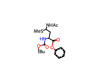 CSC(CC(NC(=O)OC(C)(C)C)C(=O)Oc1ccccc1)NC(C)=O